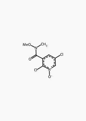 CON(C)C(=O)c1cc(Cl)c[n+]([O-])c1Cl